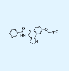 [C-]#[N+]COc1ccc2c(c1)C1=NCCN1C(NC(=O)c1cccnc1)=N2